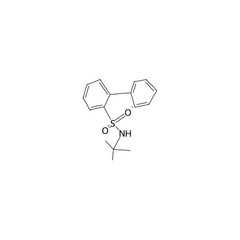 CC(C)(C)NS(=O)(=O)c1ccccc1-c1[c]cccc1